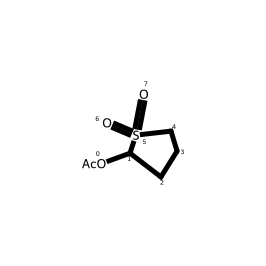 CC(=O)OC1CCCS1(=O)=O